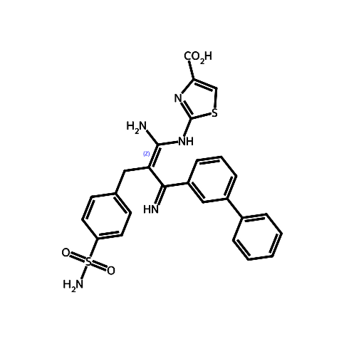 N=C(/C(Cc1ccc(S(N)(=O)=O)cc1)=C(/N)Nc1nc(C(=O)O)cs1)c1cccc(-c2ccccc2)c1